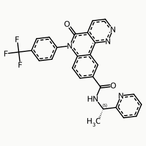 C[C@H](NC(=O)c1ccc2c(c1)c1nnccc1c(=O)n2-c1ccc(C(F)(F)F)cc1)c1ccccn1